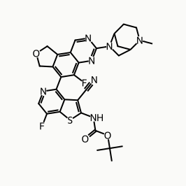 CN1CCC2CC1CN2c1ncc2c3c(c(-c4ncc(F)c5sc(NC(=O)OC(C)(C)C)c(C#N)c45)c(F)c2n1)COC3